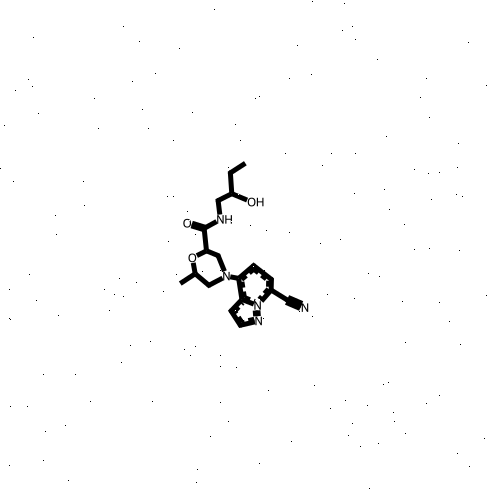 CCC(O)CNC(=O)C1CN(c2ccc(C#N)n3nccc23)CC(C)O1